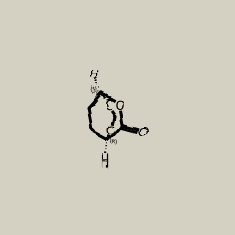 O=C1O[C@H]2CCC[C@@H]1CC2